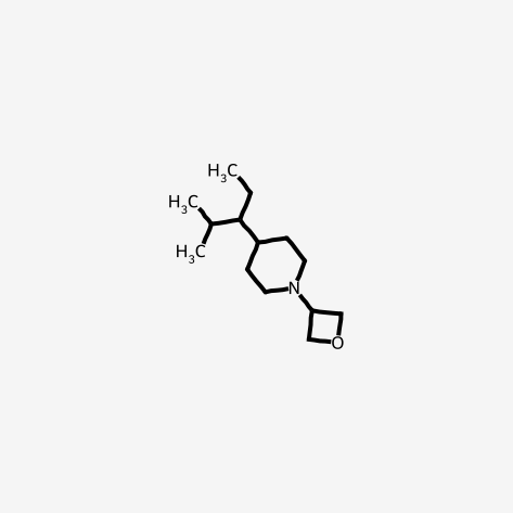 CCC(C(C)C)C1CCN(C2COC2)CC1